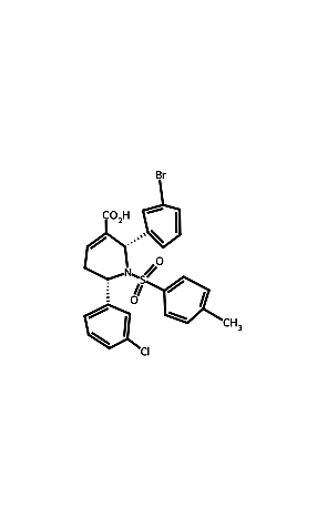 Cc1ccc(S(=O)(=O)N2[C@@H](c3cccc(Br)c3)C(C(=O)O)=CC[C@H]2c2cccc(Cl)c2)cc1